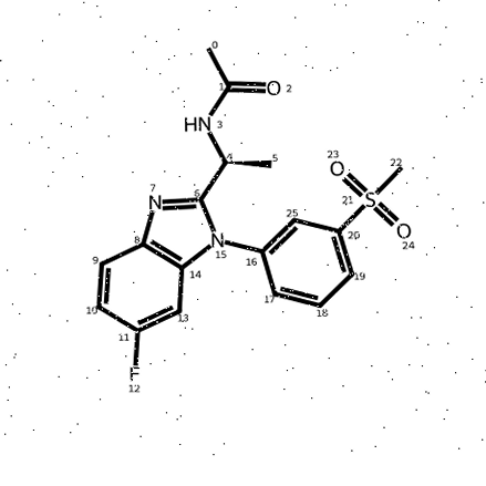 CC(=O)N[C@@H](C)c1nc2ccc(F)cc2n1-c1cccc(S(C)(=O)=O)c1